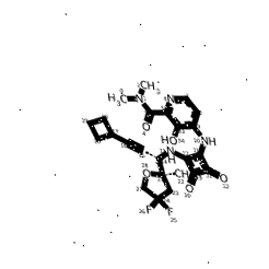 CN(C)C(=O)c1nccc(Nc2c(N[C@@H](C#CC3CCC3)[C@@]3(C)CC(F)(F)CO3)c(=O)c2=O)c1O